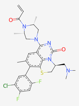 C=CC(=O)N1[C@H](C)CN(c2nc(=O)n3c4c(c(-c5cc(Cl)c(F)cc5F)c(C)cc24)SC[C@@H]3CN(C)C)C[C@@H]1C